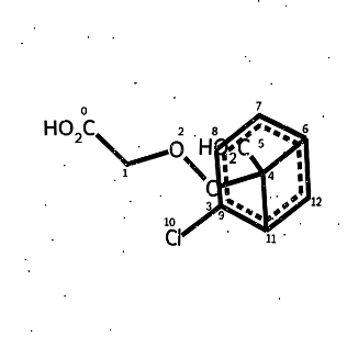 O=C(O)COOC1(C(=O)O)c2ccc(Cl)c1c2